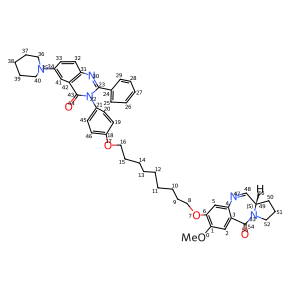 COc1cc2c(cc1OCCCCCCCCCOc1ccc(-n3c(-c4ccccc4)nc4ccc(N5CCCCC5)cc4c3=O)cc1)N=C[C@@H]1CCCN1C2=O